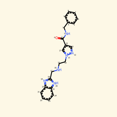 O=C(NCc1ccccc1)c1cnn(CCNCc2nc3ccccc3[nH]2)c1